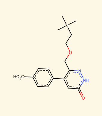 C[Si](C)(C)CCOCc1n[nH]c(=O)cc1-c1ccc(C(=O)O)cc1